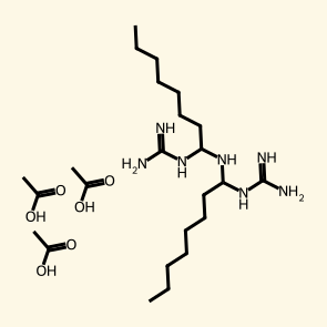 CC(=O)O.CC(=O)O.CC(=O)O.CCCCCCCC(NC(=N)N)NC(CCCCCCC)NC(=N)N